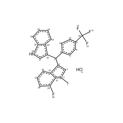 Cl.Cn1cc([C](c2ccc(C(F)(F)F)cc2)c2c[nH]c3ccccc23)c2cccc(F)c21